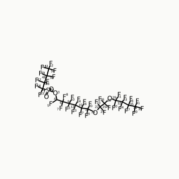 O=S(=O)(OC(F)C(F)(F)C(F)(F)C(F)(F)C(F)(F)C(F)(F)OC(F)(F)C(F)(F)OC(F)(F)C(F)(F)C(F)(F)C(F)(F)F)C(F)(F)C(F)(F)C(F)(F)C(F)(F)F